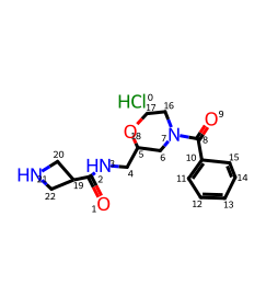 Cl.O=C(NCC1CN(C(=O)c2ccccc2)CCO1)C1CNC1